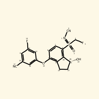 N#CN=S(=O)(CF)c1ccc(Oc2cc(F)cc(C#N)c2)c2c1[C@H](O)CC2